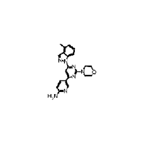 Cc1cccc2c1cnn2-c1cc(-c2ccc(N)nc2)nc(N2CCOCC2)n1